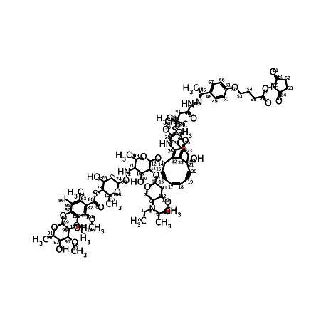 CCN(C(C)O)C1COC(OC2C(O[C@H]3C#C/C=C\C#C[C@]4(O)CC(=O)C(NC(=O)OC)=C3/C4=C\CSSC(C)(C)CC(=O)N/N=C(\C)c3ccc(OCCCC(=O)ON4C(=O)CCC4=O)cc3)OC(C)C(NOC3CC(O)C(SC(=O)c4c(C)c(I)c(OC5OC(C)C(O)C(OC)C5O)c(OC)c4OC)C(C)O3)C2O)CC1OC